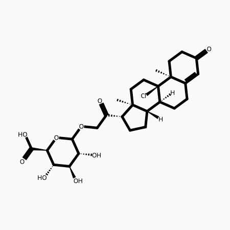 C[C@]12CC[C@@]3(Cl)[C@@H](CCC4=CC(=O)CC[C@@]43C)[C@@H]1CC[C@@H]2C(=O)COC1O[C@H](C(=O)O)[C@@H](O)[C@H](O)[C@H]1O